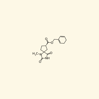 CN1C(=O)NC(=O)C12CC[C@@H](C(=O)OCC1=CCCC=C1)C2